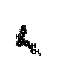 CCCCNC1CCN(c2cc(NCc3ccc(Cl)cc3)nc3ccccc23)CC1